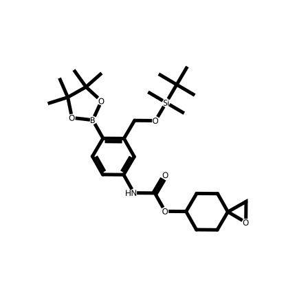 CC1(C)OB(c2ccc(NC(=O)OC3CCC4(CC3)CO4)cc2CO[Si](C)(C)C(C)(C)C)OC1(C)C